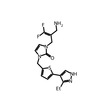 CCc1n[nH]cc1-c1ccc(Cn2ccn(CC(CN)=C(F)F)c2=O)s1